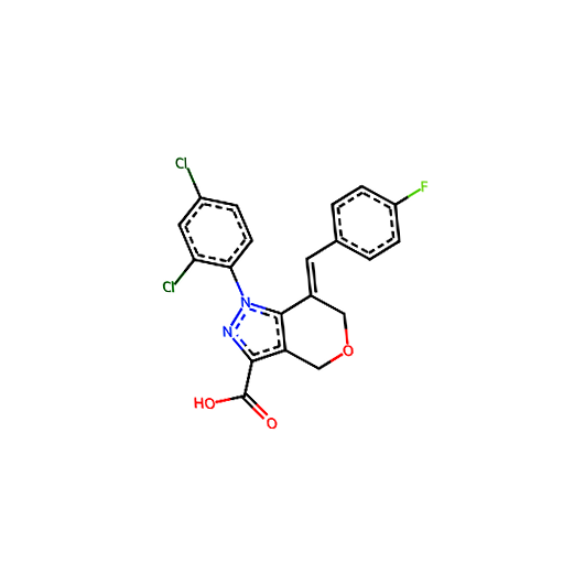 O=C(O)c1nn(-c2ccc(Cl)cc2Cl)c2c1COCC2=Cc1ccc(F)cc1